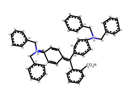 O=C(O)c1ccccc1C(=C1C=CC(=[N+](Cc2ccccc2)Cc2ccccc2)C=C1)c1ccc(N(Cc2ccccc2)Cc2ccccc2)cc1